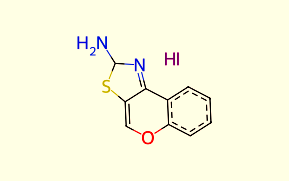 I.NC1N=C2C(=COc3ccccc32)S1